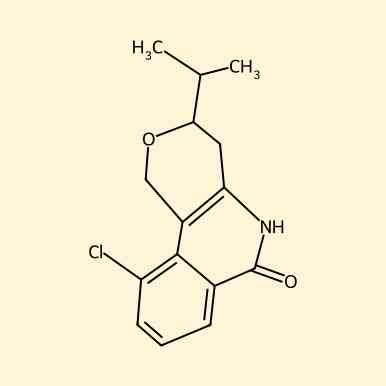 CC(C)C1Cc2[nH]c(=O)c3cccc(Cl)c3c2CO1